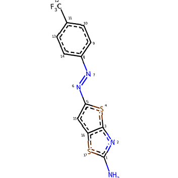 Nc1nc2sc(N=Nc3ccc(C(F)(F)F)cc3)cc2s1